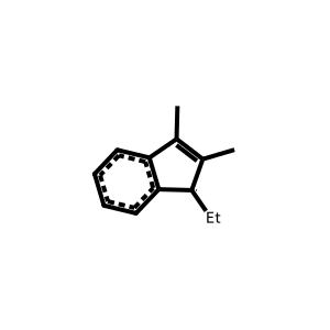 CC[C]1C(C)=C(C)c2ccccc21